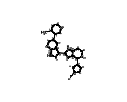 Cc1ccncc1-c1cnc2[nH]nc(-c3nc4c(-c5ccc(F)s5)nccc4[nH]3)c2c1